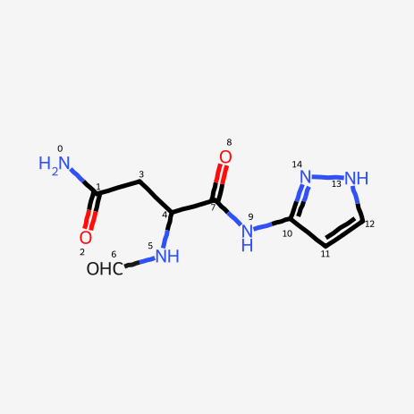 NC(=O)CC(NC=O)C(=O)Nc1cc[nH]n1